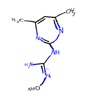 CO/N=C(\N)Nc1nc(C)cc(C)n1